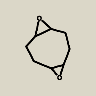 C1CC2OC2CCC2OC12